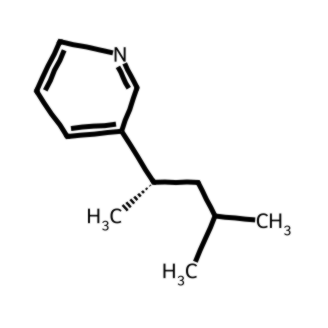 CC(C)C[C@H](C)c1cccnc1